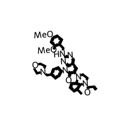 C=CC(=O)N1CCN(c2cc3cnc(NCc4ccc(OC)cc4OC)nc3n(-c3ccc(CN4CCOCC4)cc3)c2=O)c2cccc(C)c21